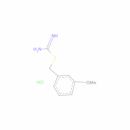 COc1cccc(CSC(=N)N)c1.Cl